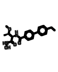 CCc1ccc(-c2ccc(C(=O)N[C@@H](C(=O)NO)[C@@H](C)OC)cc2)cc1